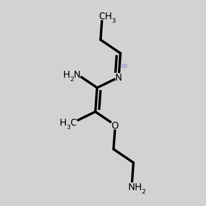 CC/C=N\C(N)=C(C)OCCN